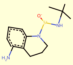 CC(C)(C)N[S+]([O-])N1CCCc2c(N)cccc21